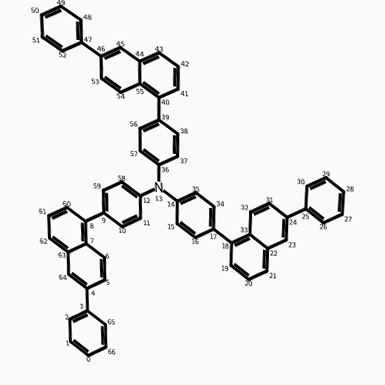 c1ccc(-c2ccc3c(-c4ccc(N(c5ccc(-c6cccc7cc(-c8ccccc8)ccc67)cc5)c5ccc(-c6cccc7cc(-c8ccccc8)ccc67)cc5)cc4)cccc3c2)cc1